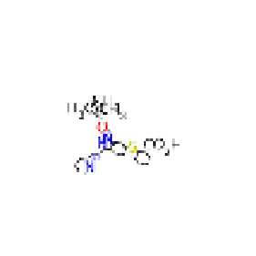 C[Si](C)(C)CCOCn1nc(/C=C/c2ccccn2)c2ccc(Sc3ccccc3C(=O)O)cc21